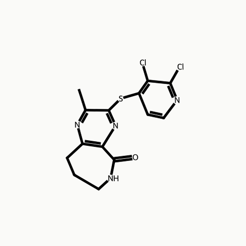 Cc1nc2c(nc1Sc1ccnc(Cl)c1Cl)C(=O)NCCC2